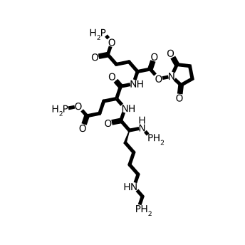 O=C(CCC(NC(=O)[C@H](CCCCNCP)NP)C(=O)NC(CCC(=O)OP)C(=O)ON1C(=O)CCC1=O)OP